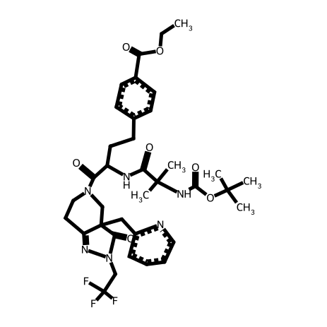 CCOC(=O)c1ccc(CCC(NC(=O)C(C)(C)NC(=O)OC(C)(C)C)C(=O)N2CCC3=NN(CC(F)(F)F)C(=O)C3(Cc3ccccn3)C2)cc1